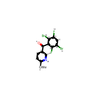 COc1ccc(C(=O)c2c(F)c(Br)cc(F)c2Br)cn1